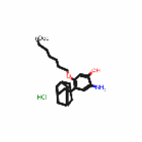 CCCCCCCCCCCCCCCCOc1cc(O)c(N)cc1C12CC3CC(CC(C3)C1)C2.Cl